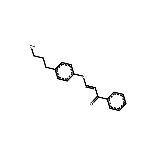 O=C(/C=C/Nc1ccc(CCCO)cc1)c1ccccc1